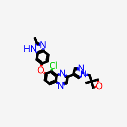 Cc1nc2ccc(Oc3ccc4ncc(-c5cnn(CC6(C)COC6)c5)nc4c3Cl)cc2[nH]1